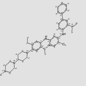 CCc1cc(Nc2ncc(Cl)c(Nc3ccc(-c4ccccc4)cc3P(C)C)n2)c(OC)cc1N1CCC(N2CCN(C)CC2)CC1